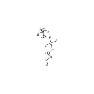 CCCOCC(C)(C)CO[Si](C)(C)C